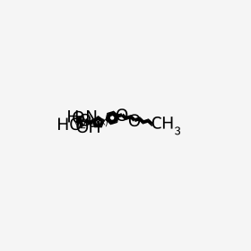 CCCCCOCCOc1ccc([C@@H]2CC[C@@](N)(COP(=O)(O)O)C2)cc1